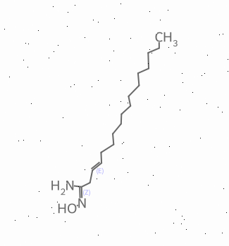 CCCCCCCCCCCCC/C=C/C/C(N)=N/O